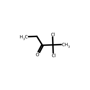 CCC(=O)C(C)(Cl)Cl